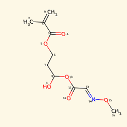 C=C(C)C(=O)OCCC(O)OC(=O)C=NOC